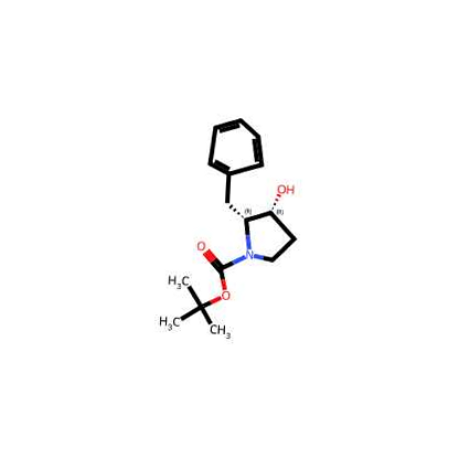 CC(C)(C)OC(=O)N1CC[C@@H](O)[C@H]1Cc1ccccc1